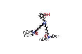 CCCCCCCCCCN(CCCCCCCCCC)C(=O)CCCCCCCN(CCCCCCCC(=O)N(CCCCCCCCCC)CCCCCCCCCC)CCC[C@H]1CCCC[C@@H]1O